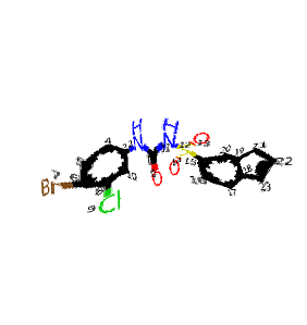 O=C(Nc1ccc(Br)c(Cl)c1)NS(=O)(=O)c1ccc2c(c1)CC=C2